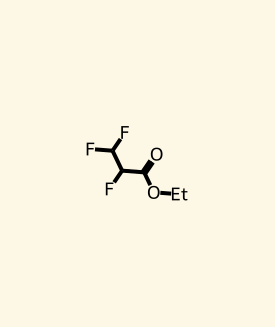 CCOC(=O)C(F)C(F)F